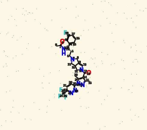 CC(=O)N[C@@H](CCN1CC2=CN(C(=O)c3c(C)nn(-c4ccc(C(F)(F)F)nn4)c3C)CC2C1)c1cccc(F)c1